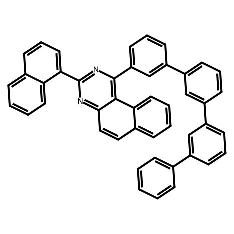 c1ccc(-c2cccc(-c3cccc(-c4cccc(-c5nc(-c6cccc7ccccc67)nc6ccc7ccccc7c56)c4)c3)c2)cc1